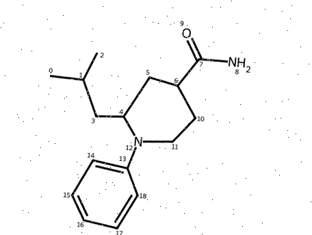 CC(C)CC1CC(C(N)=O)CCN1c1ccccc1